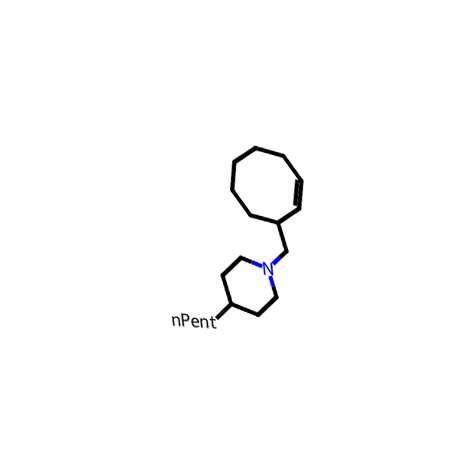 CCCCCC1CCN(CC2/C=C\CCCCC2)CC1